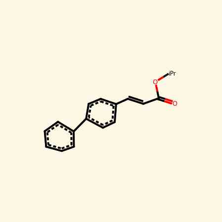 CC(C)OC(=O)C=Cc1ccc(-c2ccccc2)cc1